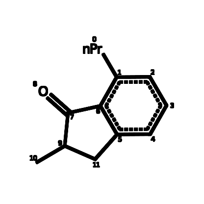 CCCc1cccc2c1C(=O)C(C)C2